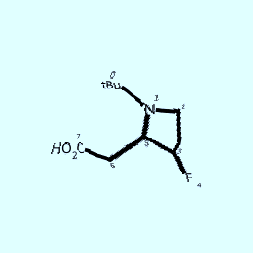 CC(C)(C)N1CC(F)C1CC(=O)O